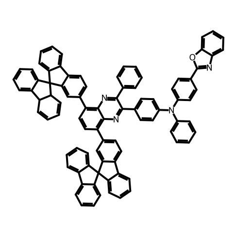 C1=CC2c3ccccc3C3(c4ccccc4-c4ccc(-c5ccc(-c6ccc7c(c6)C6(c8ccccc8-c8ccccc86)c6ccccc6-7)c6nc(-c7ccc(N(c8ccccc8)c8ccc(-c9nc%10ccccc%10o9)cc8)cc7)c(-c7ccccc7)nc56)cc43)C2C=C1